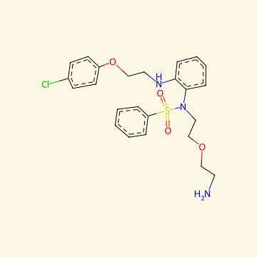 NCCOCCN(c1ccccc1NCCOc1ccc(Cl)cc1)S(=O)(=O)c1ccccc1